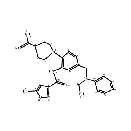 CCN(Cc1ccc(N2CCC(C(N)=O)CC2)c(NC(=O)c2cc(C)on2)c1)c1ccccc1